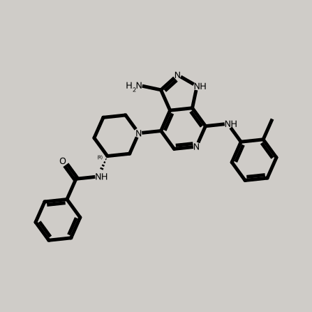 Cc1ccccc1Nc1ncc(N2CCC[C@@H](NC(=O)c3ccccc3)C2)c2c(N)n[nH]c12